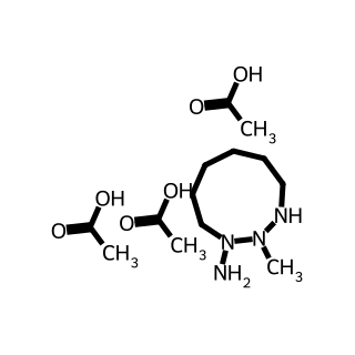 CC(=O)O.CC(=O)O.CC(=O)O.CN1NCCCCCCN1N